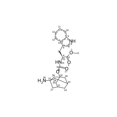 COC(=O)[C@H](Cc1c[nH]c2ccccc12)NC(=O)OC12CC3CC(CC(N)(C3)C1)C2